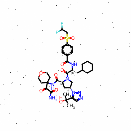 CC(C)(O)c1cnnn1[C@H]1C[C@@H](C(=O)NC2(C(=O)C(N)=O)CCOCC2)N(C(=O)[C@@H](CC2CCCCC2)NC(=O)c2ccc(S(=O)(=O)CC(F)F)cc2)C1